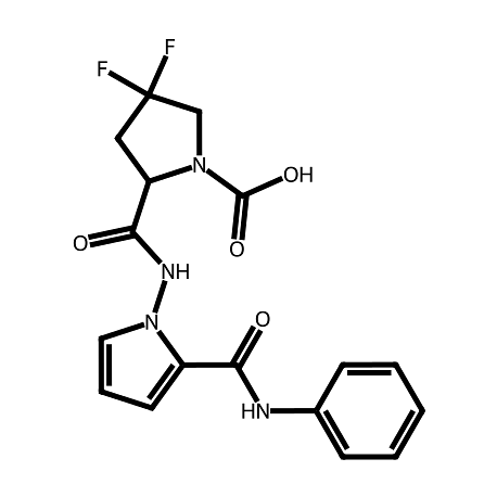 O=C(Nc1ccccc1)c1cccn1NC(=O)C1CC(F)(F)CN1C(=O)O